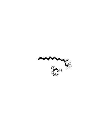 CCCCCCCCCCCCN(C)CC(=O)O.CNCC(=O)[O-].[Na+]